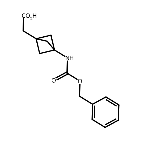 O=C(O)CC12CC(NC(=O)OCc3ccccc3)(C1)C2